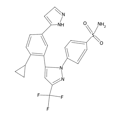 NS(=O)(=O)c1ccc(-n2nc(C(F)(F)F)cc2-c2cc(-c3ccn[nH]3)ccc2C2CC2)cc1